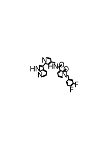 O=C(NCc1ccnc(-c2c[nH]c3ncccc23)c1)c1cccn(Cc2ccc(F)c(F)c2)c1=O